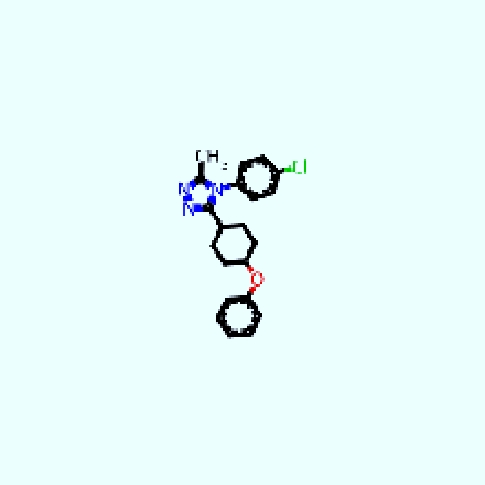 Cc1nnc(C2CCC(Oc3ccccc3)CC2)n1-c1ccc(Cl)cc1